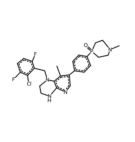 Cc1c(-c2ccc(P3(=O)CCN(C)CC3)cc2)cnc2c1N(Cc1c(F)ccc(F)c1Cl)CCN2